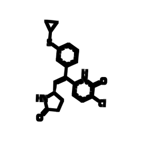 O=C1CC[C@H](/C=C(/c2cccc(SC3CC3)c2)c2ccc(Cl)c(=O)[nH]2)N1